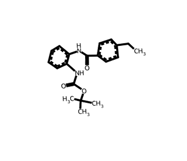 CCc1ccc(C(=O)Nc2ccccc2NC(=O)OC(C)(C)C)cc1